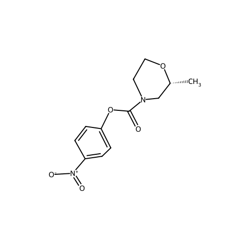 C[C@@H]1CN(C(=O)Oc2ccc([N+](=O)[O-])cc2)CCO1